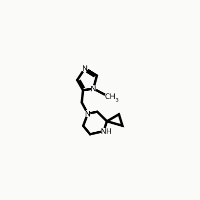 Cn1cncc1CN1CCNC2(CC2)C1